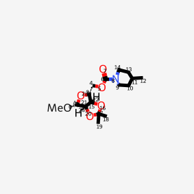 CO[C@@H]1O[C@H](COC(=O)N2CCC(C)CC2)[C@H]2OC(C)(C)O[C@@H]12